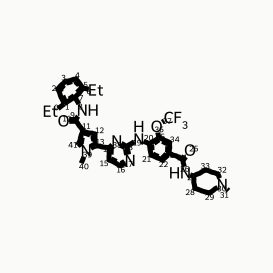 CCc1cccc(CC)c1NC(=O)c1cc(-c2ccnc(Nc3ccc(C(=O)NC4CCN(C)CC4)cc3OC(F)(F)F)n2)n(C)c1